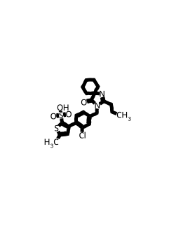 CCCC1=NC2(CCCCC2)C(=O)N1Cc1ccc(-c2cc(C)sc2S(=O)(=O)O)c(Cl)c1